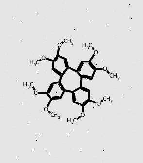 COc1cc2c(cc1OC)-c1cc(OC)c(OC)cc1-c1cc(OC)c(OC)cc1-c1cc(OC)c(OC)cc1-2